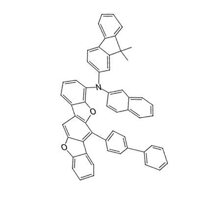 CC1(C)c2ccccc2-c2ccc(N(c3ccc4ccccc4c3)c3cccc4c3oc3c(-c5ccc(-c6ccccc6)cc5)c5c(cc34)oc3ccccc35)cc21